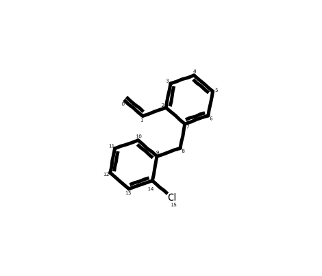 C=Cc1ccccc1Cc1ccccc1Cl